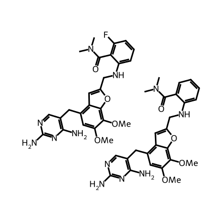 COc1cc(Cc2cnc(N)nc2N)c2cc(CNc3cccc(F)c3C(=O)N(C)C)oc2c1OC.COc1cc(Cc2cnc(N)nc2N)c2cc(CNc3ccccc3C(=O)N(C)C)oc2c1OC